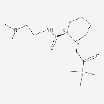 CN(C)CCNC(=O)[C@H]1CCCC[C@H]1CC(=O)C(C)(C)C